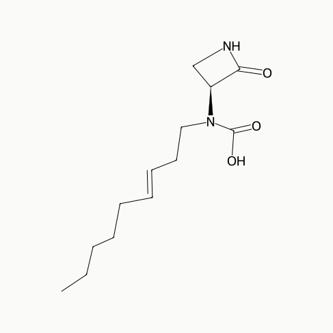 CCCCCC=CCCN(C(=O)O)[C@H]1CNC1=O